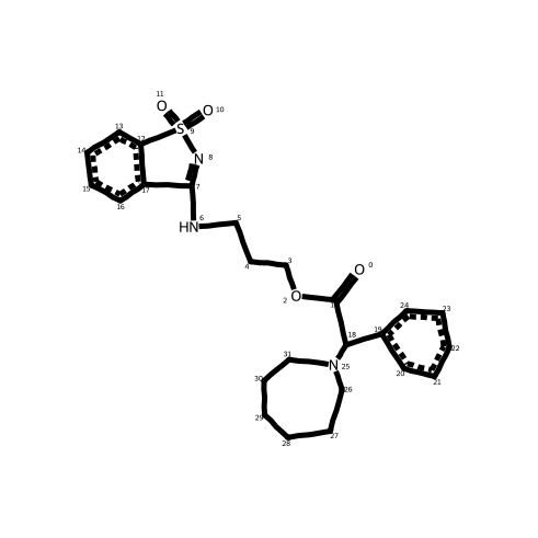 O=C(OCCCNC1=NS(=O)(=O)c2ccccc21)C(c1ccccc1)N1CCCCCC1